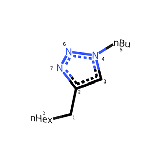 CCCCCCCc1cn(CCCC)nn1